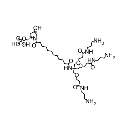 NCCCNC(=O)CCOCC(COCCC(=O)NCCCN)(COCCC(=O)NCCCN)NC(=O)CCCCCCCCCCC(=O)N1C[C@H](O)C[C@H]1COP(=O)(O)O